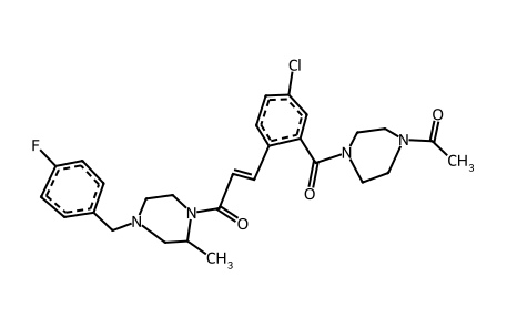 CC(=O)N1CCN(C(=O)c2cc(Cl)ccc2C=CC(=O)N2CCN(Cc3ccc(F)cc3)CC2C)CC1